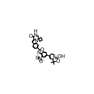 CC(C)(C)C1C=C(c2cc([N+](=O)[O-])c3nc(-c4ccc5cc6n(c5c4)C4(CCC4)CNC6=O)oc3c2)CCN1C(=O)O